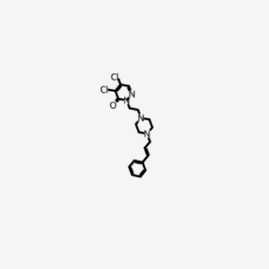 O=c1c(Cl)c(Cl)cnn1CCN1CCN(CC=Cc2ccccc2)CC1